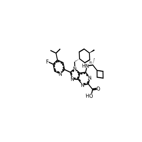 CC(C)c1cc(-c2nc3nc(C(=O)O)nc(N[C@H](C)C4CCC4)c3n2C[C@H]2CC[C@H](C)CC2)ncc1F